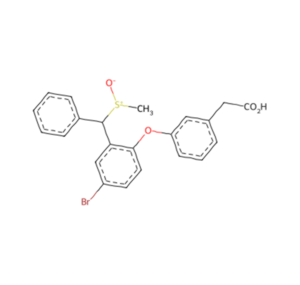 C[S+]([O-])C(c1ccccc1)c1cc(Br)ccc1Oc1cccc(CC(=O)O)c1